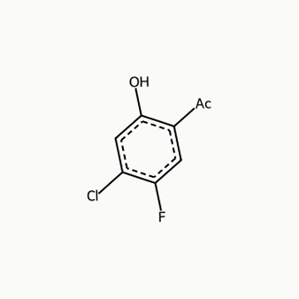 CC(=O)c1cc(F)c(Cl)cc1O